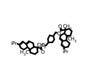 CC(C)C1=CC2=CCC3C(C)(C(=O)OCC4CCC(COC(=O)C5(C)CCCC6(C)C7CCC(C(C)C)=CC7=CCC56)CC4)CCCC3(C)C2CC1